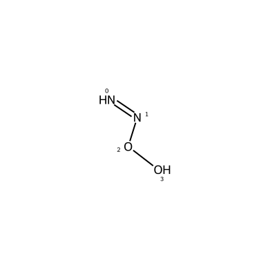 N=NOO